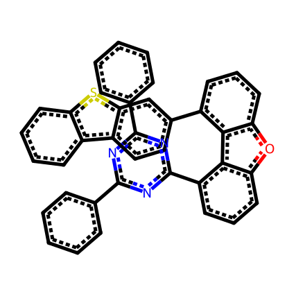 c1ccc(-c2nc(-c3ccccc3)nc(-c3cccc4oc5cccc(-c6ccc7c(c6)sc6ccccc67)c5c34)n2)cc1